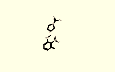 Cc1cccc(NC[C@@H]2CCN(C(=O)O)C2)c1[N+](=O)[O-]